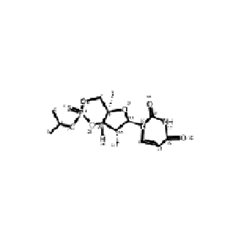 CC(C)OP1(=S)OC[C@@]2(C)O[C@@H](n3ccc(=O)[nH]c3=O)[C@H](F)[C@@H]2O1